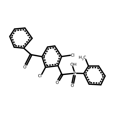 Cc1ccccc1P(=O)(O)C(=O)c1c(Cl)ccc(C(=O)c2ccccc2)c1Cl